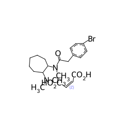 CN(C)C1CCCCCC1N(C)C(=O)Cc1ccc(Br)cc1.O=C(O)/C=C\C(=O)O